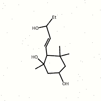 CCC(O)/C=C/C1C(C)(C)CC(O)CC1(C)O